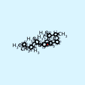 Cc1ccc(-c2ccc(C)c(Cc3cccc(-c4ccc(C)c(CCc5cc(Oc6ccc(C)c(Cc7cc(Oc8cccc(C)c8C)ccc7C)c6)ccc5C)c4)c3C)c2)cc1C